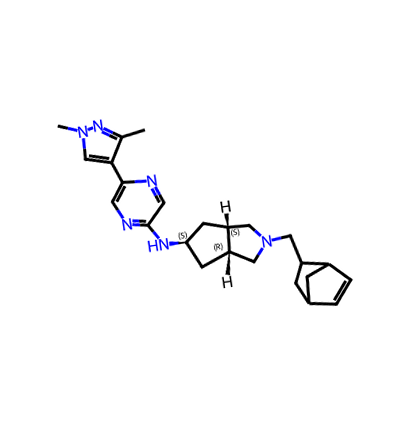 Cc1nn(C)cc1-c1cnc(N[C@H]2C[C@@H]3CN(CC4CC5C=CC4C5)C[C@@H]3C2)cn1